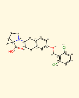 O=C(O)C12CC1CCN2C1CCc2cc(OCc3c(Cl)cccc3Cl)ccc2C1